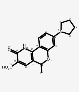 CC1Oc2cc(N3CCCC3)ccc2-c2[nH]c(=O)c(C(=O)O)cc21